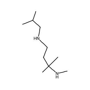 CNC(C)(C)CCNCC(C)C